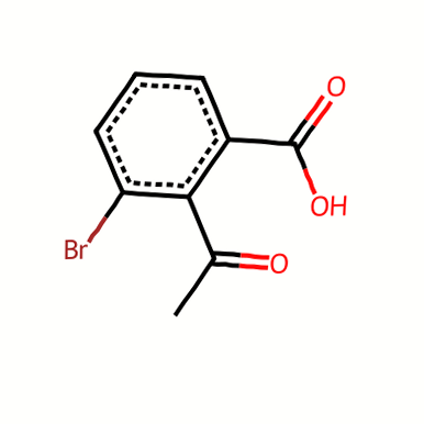 CC(=O)c1c(Br)cccc1C(=O)O